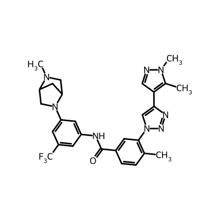 Cc1ccc(C(=O)Nc2cc(N3CC4CC3CN4C)cc(C(F)(F)F)c2)cc1-n1cc(-c2cnn(C)c2C)nn1